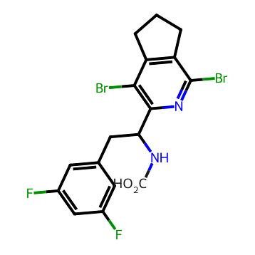 O=C(O)NC(Cc1cc(F)cc(F)c1)c1nc(Br)c2c(c1Br)CCC2